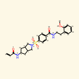 C=CC(=O)NC1CC2CN(S(=O)(=O)c3ccc(C(=O)NCCc4ccccc4OC)cc3)CC2C1